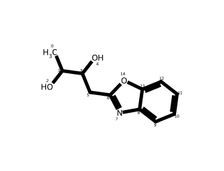 CC(O)C(O)Cc1nc2ccccc2o1